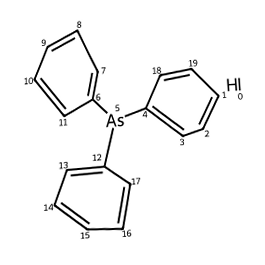 I.c1ccc([As](c2ccccc2)c2ccccc2)cc1